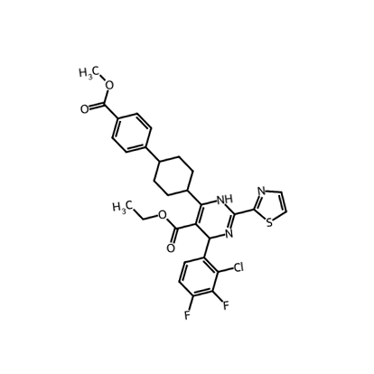 CCOC(=O)C1=C(C2CCC(c3ccc(C(=O)OC)cc3)CC2)NC(c2nccs2)=NC1c1ccc(F)c(F)c1Cl